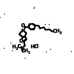 CCCCCCCc1ccc(C(=O)N2CCc3oc(CN(C)C)cc3C2)cc1.Cl